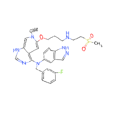 CON1C=C2NC=NC(N(Cc3cccc(F)c3)c3ccc4[nH]ncc4c3)=C2C=C1OCCCNCCS(C)(=O)=O